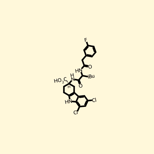 CCC(C)C(NC(=O)Cc1cccc(F)c1)C(=O)N[C@]1(C(=O)O)CCc2[nH]c3c(Cl)cc(Cl)cc3c2C1